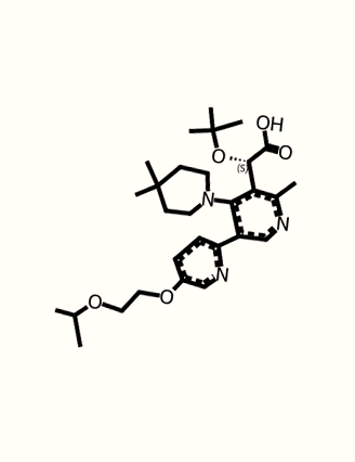 Cc1ncc(-c2ccc(OCCOC(C)C)cn2)c(N2CCC(C)(C)CC2)c1[C@H](OC(C)(C)C)C(=O)O